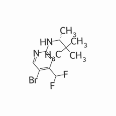 C[C@@H](Nc1cc(C(F)F)c(Br)cn1)C(C)(C)C